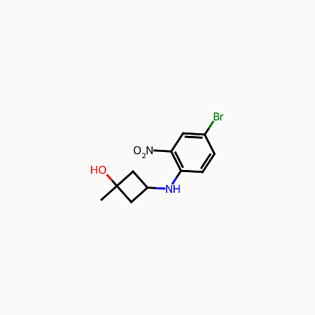 CC1(O)CC(Nc2ccc(Br)cc2[N+](=O)[O-])C1